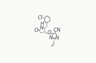 N#Cc1cnc(C2CC2)nc1OCC1CC(=O)NC1Cc1cccc(Cl)c1